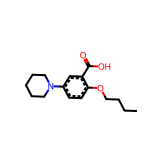 CCCCOc1ccc(N2CCCCC2)cc1C(=O)O